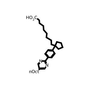 CCCCCCCCc1cnc(-c2ccc(C3(CCCCCCCCC(=O)O)CCCC3)cc2)nc1